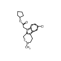 CN1CCc2c(n(CC(=O)OC3CCCC3)c3ccc(Cl)cc23)CC1